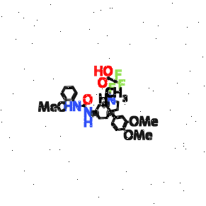 COc1ccccc1NC(=O)N[C@@H]1CC[C@@]2(c3ccc(OC)c(OC)c3)CCN(C)[C@H]2C1.O=C(O)C(F)(F)F